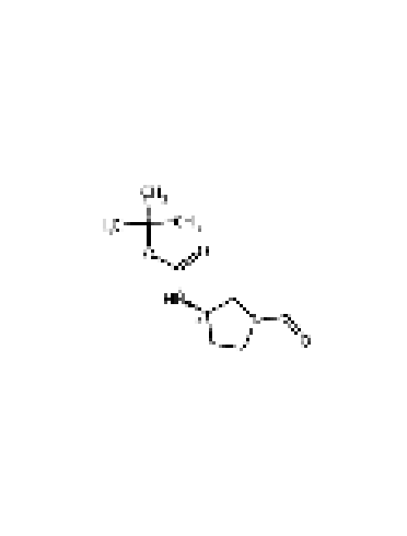 CC(C)(C)OC(=O)N[C@@H]1CCN(C=O)C1